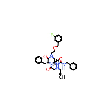 C#CCN1CC(=O)N2[C@@H](Cc3ccccc3)C(=O)N(CCOCc3cccc(F)c3)C[C@@H]2N1C(=O)NCc1ccccc1